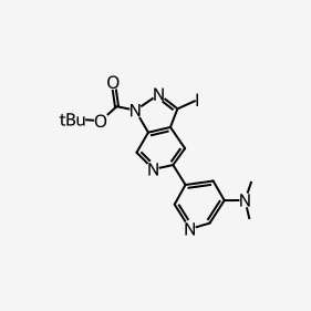 CN(C)c1cncc(-c2cc3c(I)nn(C(=O)OC(C)(C)C)c3cn2)c1